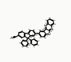 N#Cc1ccc2c(c1)C(c1ccccc1)(c1ccccc1)c1cc(-c3ccc4oc5nc6ccccc6nc5c4c3)ccc1-2